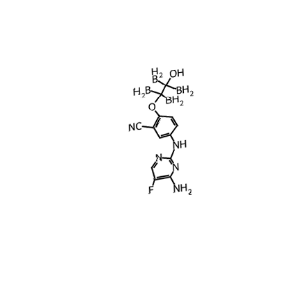 BC(B)(O)C(B)(B)Oc1ccc(Nc2ncc(F)c(N)n2)cc1C#N